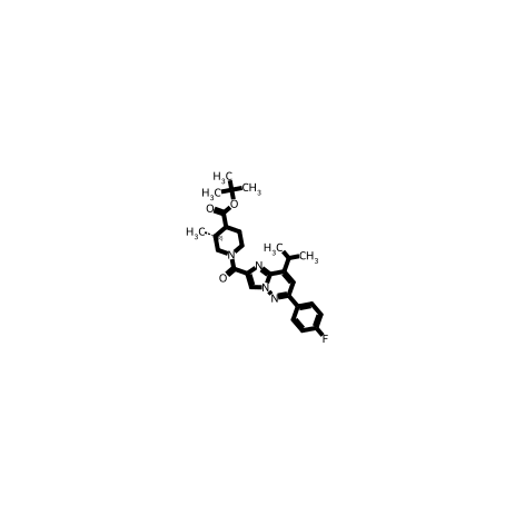 CC(C)c1cc(-c2ccc(F)cc2)nn2cc(C(=O)N3CCC(C(=O)OC(C)(C)C)[C@@H](C)C3)nc12